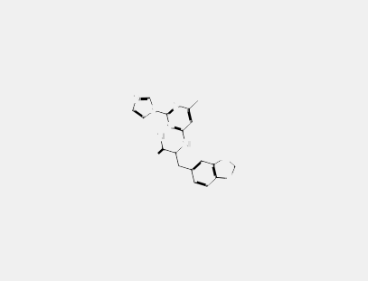 Cc1cc(NC(Cc2ccc3c(c2)OCO3)C(N)=O)nc(-n2ccnc2)n1